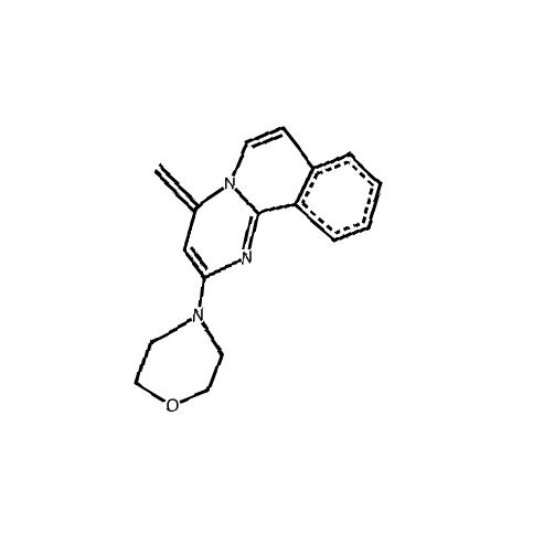 C=C1C=C(N2CCOCC2)N=C2c3ccccc3C=CN12